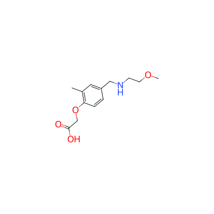 COCCNCc1ccc(OCC(=O)O)c(C)c1